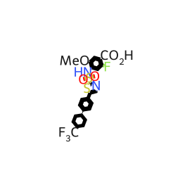 COc1cc(C(=O)O)c(F)cc1NS(=O)(=O)c1ncc(-c2ccc([C@H]3CC[C@H](C(F)(F)F)CC3)cc2)s1